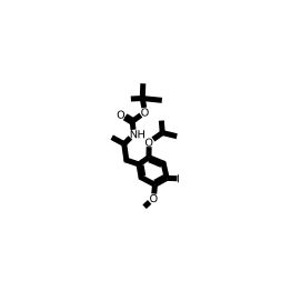 COc1cc(CC(C)NC(=O)OC(C)(C)C)c(OC(C)C)cc1I